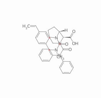 C=Cc1ccc(CN(C)C(=O)N2C3CC[C@@H]2[C@@H](C(=O)O)N(C(=O)N(c2ccccc2)c2ccccc2)C3)cc1